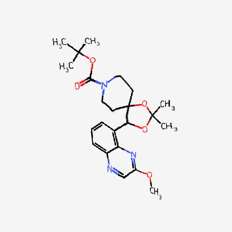 COc1cnc2cccc(C3OC(C)(C)OC34CCN(C(=O)OC(C)(C)C)CC4)c2n1